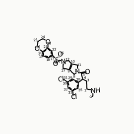 CNCCC(C(=O)N1CC2=C(C1)CN(S(=O)(=O)c1ccc3c(c1)OCCO3)C2)c1cc(Cl)cc(Cl)c1